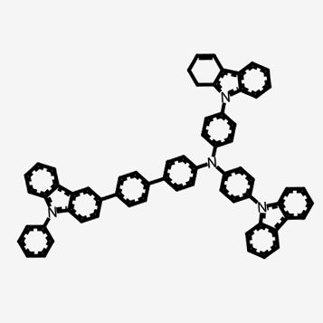 C1=Cc2c(n(-c3ccc(N(c4ccc(-c5ccc(-c6ccc7c(c6)c6ccccc6n7-c6ccccc6)cc5)cc4)c4ccc(-n5c6ccccc6c6ccccc65)cc4)cc3)c3ccccc23)CC1